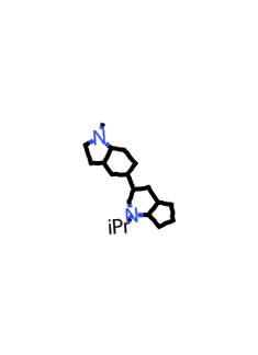 CC(C)N1CC(C2CCC3C(CCN3C)C2)CC2CCCC21